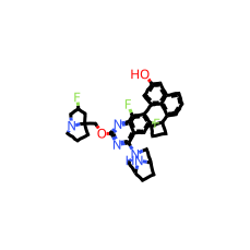 Oc1cc(-c2c(F)cc3c(N4CC5CCC(C4)N5)nc(OCC45CCCN4CC(F)C5)nc3c2F)c2c(C3CCC3)cccc2c1